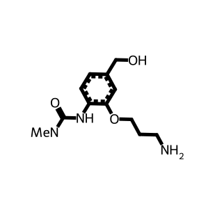 CNC(=O)Nc1ccc(CO)cc1OCCCN